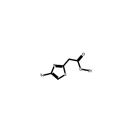 [2H]c1csc(CC(=O)OCC)n1